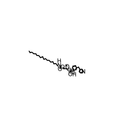 CCCCCCCCCCCCCCCCCCNC(=O)OCC(COP(O)Oc1cccc(Cc2cccnc2)c1)OC